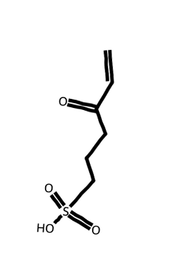 C=CC(=O)CCCS(=O)(=O)O